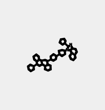 c1ccc(-c2cc3c4ccccc4c(-c4ccc(-c5ccc(-n6c(-c7ccccc7)nc7ccc8ccccc8c76)cc5)cc4)cc3c3ccccc23)cc1